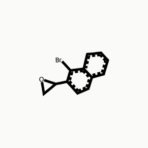 Brc1c(C2CO2)ccc2ccccc12